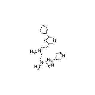 CN(CCC1=COC=C(C2=CC=CCC2)O1)CCN(C)c1nc(-n2ccnc2)ns1